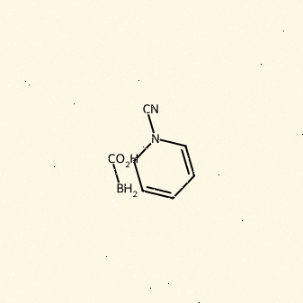 BC(=O)O.N#CN1C=CC=CC1